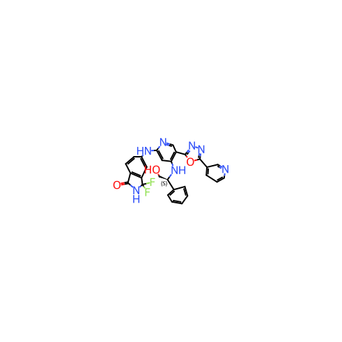 O=C1NC(F)(F)c2cc(Nc3cc(N[C@H](CO)c4ccccc4)c(-c4nnc(-c5cccnc5)o4)cn3)ccc21